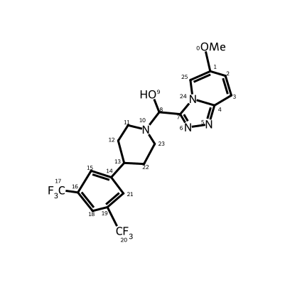 COc1ccc2nnc(C(O)N3CCC(c4cc(C(F)(F)F)cc(C(F)(F)F)c4)CC3)n2c1